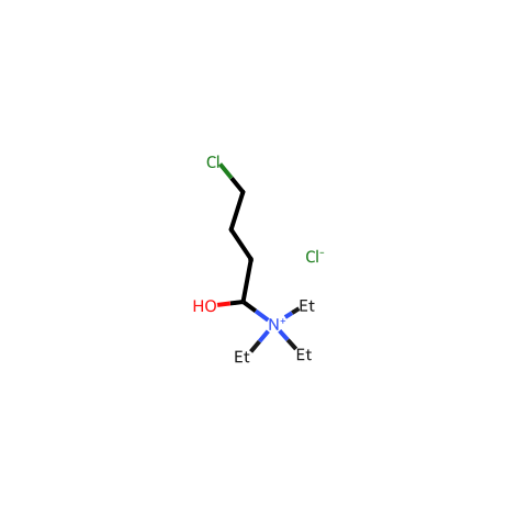 CC[N+](CC)(CC)C(O)CCCCl.[Cl-]